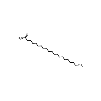 CCCCCCCCCCCCCCCCCCCCC(N)=O